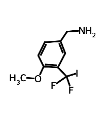 COc1ccc(CN)cc1C(F)(F)I